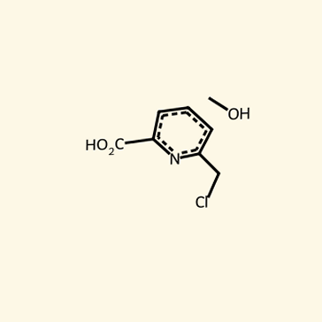 CO.O=C(O)c1cccc(CCl)n1